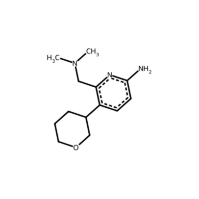 CN(C)Cc1nc(N)ccc1C1CCCOC1